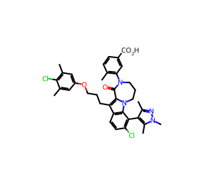 Cc1ccc(C(=O)O)cc1N1CCCn2c(c(CCCOc3cc(C)c(Cl)c(C)c3)c3ccc(Cl)c(-c4c(C)nn(C)c4C)c32)C1=O